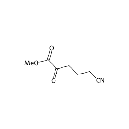 COC(=O)C(=O)CCCC#N